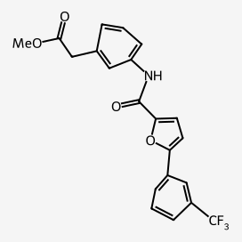 COC(=O)Cc1cccc(NC(=O)c2ccc(-c3cccc(C(F)(F)F)c3)o2)c1